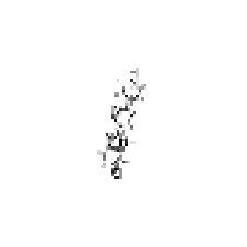 Clc1ccc2nc(-c3ccc(N4CCNCC4)nn3)[nH]c2c1